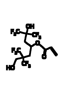 C=CC(=O)OC(CC(O)(C(F)(F)F)C(F)(F)F)CC(CO)(C(F)(F)F)C(F)(F)F